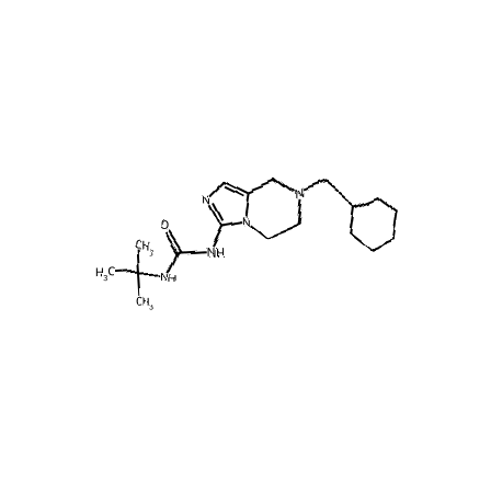 CC(C)(C)NC(=O)Nc1ncc2n1CCN(CC1CCCCC1)C2